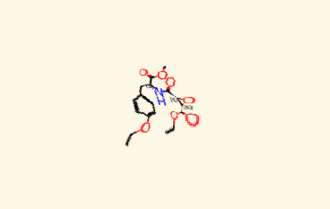 CCOC(=O)[C@H]1O[C@@H]1C(=O)N[C@@H](Cc1ccc(OCC)cc1)C(=O)OC